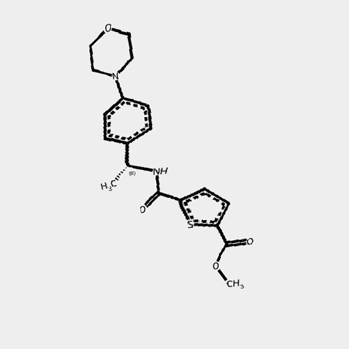 COC(=O)c1ccc(C(=O)N[C@H](C)c2ccc(N3CCOCC3)cc2)s1